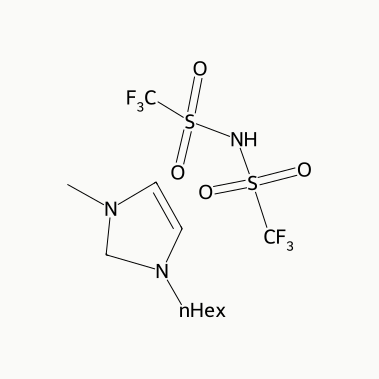 CCCCCCN1C=CN(C)C1.O=S(=O)(NS(=O)(=O)C(F)(F)F)C(F)(F)F